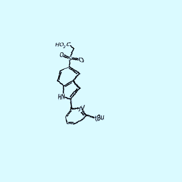 CC(C)(C)c1cccc(-c2cc3cc(S(=O)(=O)CC(=O)O)ccc3[nH]2)n1